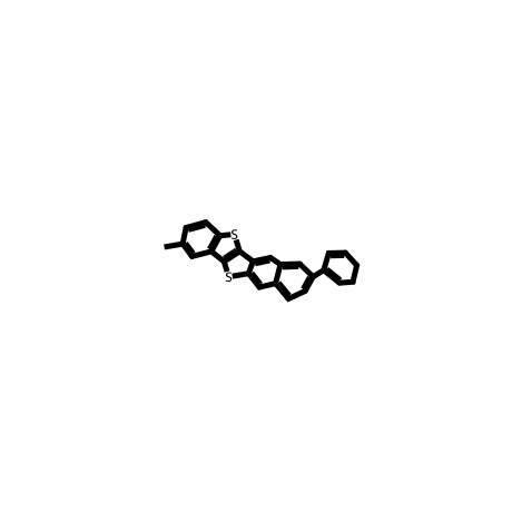 Cc1ccc2sc3c4cc5cc(C6=CCCC=C6)ccc5cc4sc3c2c1